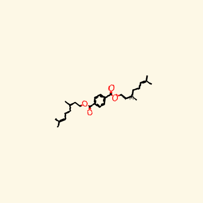 CC(C)=CCCC(C)CCOC(=O)c1ccc(C(=O)OCC[C@H](C)CCC=C(C)C)cc1